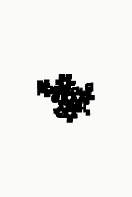 CCCCc1c2c(cc(C(=O)c3scc(Cl)c3Cl)c1N1CCCCC1N)-c1ccccc1C2C(=O)NCC(F)(F)F